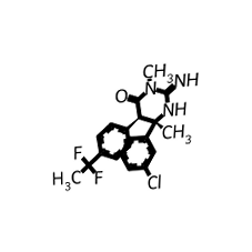 CN1C(=N)N[C@](C)(c2cccc(Cl)c2)[C@@H](c2ccc(C(C)(F)F)cc2)C1=O